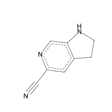 N#Cc1cc2c(cn1)NCC2